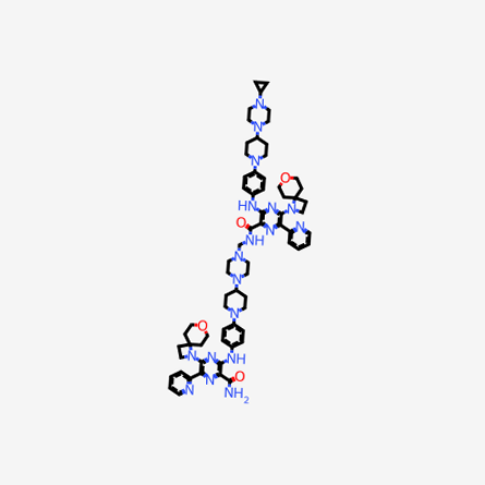 NC(=O)c1nc(-c2ccccn2)c(N2CCC23CCOCC3)nc1Nc1ccc(N2CCC(N3CCN(CNC(=O)c4nc(-c5ccccn5)c(N5CCC56CCOCC6)nc4Nc4ccc(N5CCC(N6CCN(C7CC7)CC6)CC5)cc4)CC3)CC2)cc1